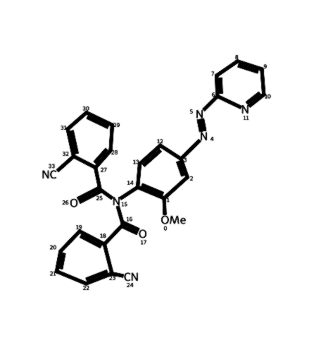 COc1cc(/N=N/c2ccccn2)ccc1N(C(=O)c1ccccc1C#N)C(=O)c1ccccc1C#N